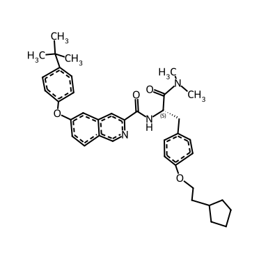 CN(C)C(=O)[C@H](Cc1ccc(OCCC2CCCC2)cc1)NC(=O)c1cc2cc(Oc3ccc(C(C)(C)C)cc3)ccc2cn1